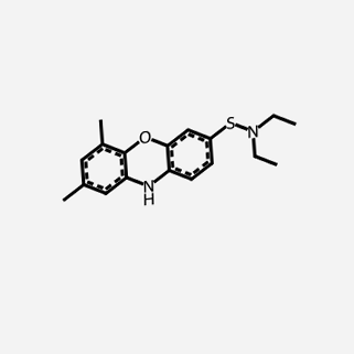 CCN(CC)Sc1ccc2c(c1)Oc1c(C)cc(C)cc1N2